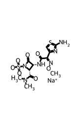 CON=C(C(=O)N[C@H]1C(=O)N(S(=O)(=O)[O-])[C@H]1C(=O)N(C)C)c1csc(N)n1.[Na+]